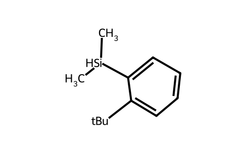 C[SiH](C)c1ccccc1C(C)(C)C